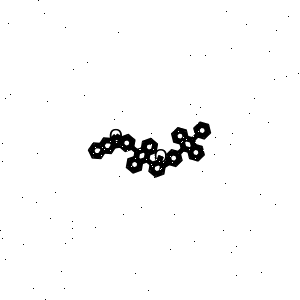 c1ccc(-c2c3ccccc3c(-c3ccc4c(c3)oc3c(-c5c6ccccc6c(-c6ccc7oc8cc9ccccc9cc8c7c6)c6ccccc56)cccc34)c3ccccc23)cc1